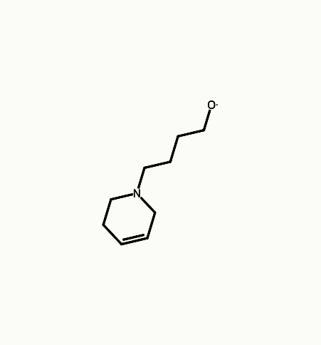 [O]CCCCN1CC=CCC1